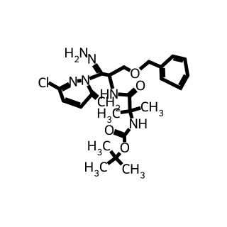 C=C1C=CC(Cl)=NN1/C(=N\N)C(COCc1ccccc1)NC(=O)C(C)(C)NC(=O)OC(C)(C)C